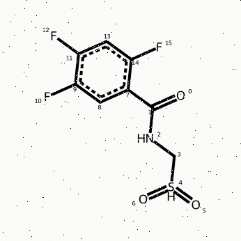 O=C(NC[SH](=O)=O)c1cc(F)c(F)cc1F